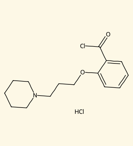 Cl.O=C(Cl)c1ccccc1OCCCN1CCCCC1